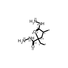 CCC(C)(CC(C)C(=O)NN)C(=O)NN